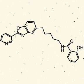 O=C(NCCCCCc1ccc2oc(-c3cccnc3)nc2c1)c1ccccc1O